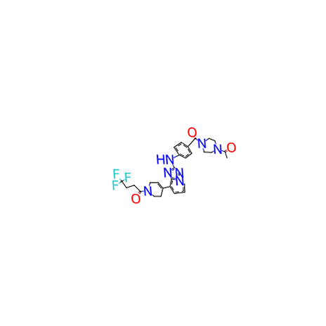 CC(=O)N1CCN(C(=O)c2ccc(Nc3nc4c(C5=CCN(C(=O)CCC(F)(F)F)CC5)cccn4n3)cc2)CC1